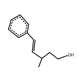 CC(C=Cc1ccccc1)CCO